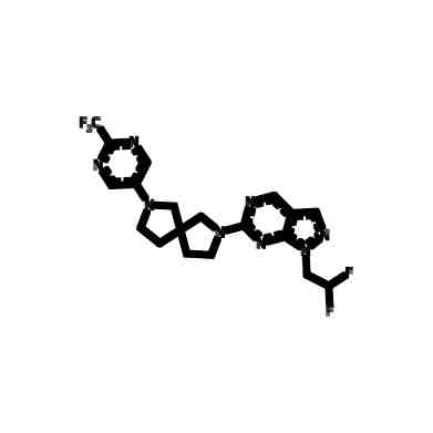 FC(F)Cn1ncc2cnc(N3CCC4(CCN(c5cnc(C(F)(F)F)nc5)C4)C3)nc21